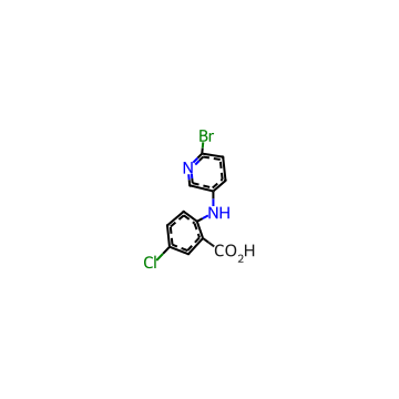 O=C(O)c1cc(Cl)ccc1Nc1ccc(Br)nc1